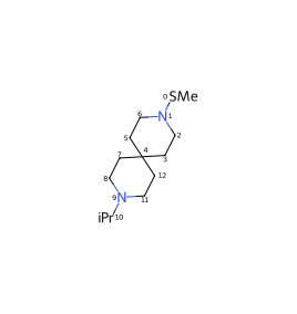 CSN1CCC2(CC1)CCN(C(C)C)CC2